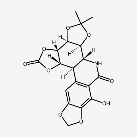 CC1(C)O[C@@H]2[C@H]3OC(=O)O[C@H]3[C@@H]3c4cc5c(c(O)c4C(=O)N[C@H]3[C@@H]2O1)OCO5